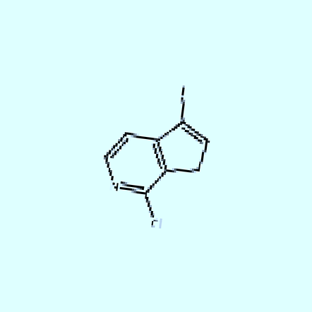 Clc1nccc2c1CC=C2I